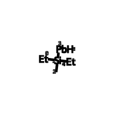 CC[Si](C)([PbH])CC